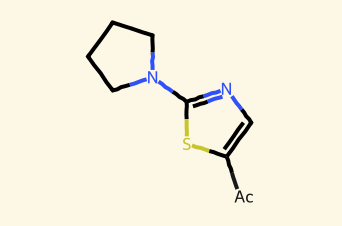 CC(=O)c1cnc(N2CCCC2)s1